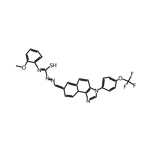 COc1ccccc1N=C(S)N=NC=C1C=CC2C(=C1)C=Cc1c2ncn1-c1ccc(OC(F)(F)F)cc1